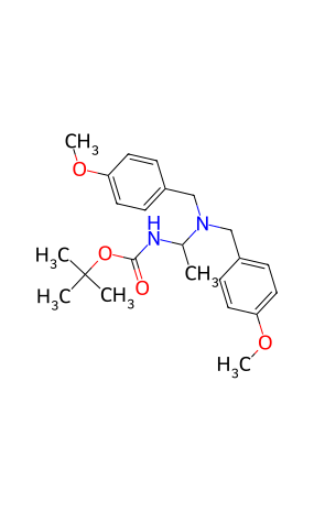 COc1ccc(CN(Cc2ccc(OC)cc2)C(C)NC(=O)OC(C)(C)C)cc1